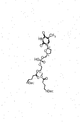 CCCCCCCCCCCCCC(=O)OC[C@@H](COP(=O)(O)OC[C@@H]1CC[C@H](n2cc(C)c(=O)[nH]c2=O)O1)OC(=O)CCCCCCCCCCCCC